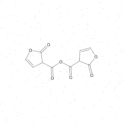 O=C1OC=CC1C(=O)OC(=O)C1C=COC1=O